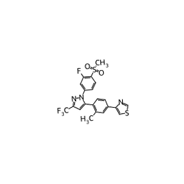 Cc1cc(-c2cscn2)ccc1-c1cc(C(F)(F)F)nn1-c1ccc(S(C)(=O)=O)c(F)c1